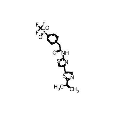 C=C(C)c1ncc(-c2csc(NC(=O)Cc3ccc(S(=O)(=O)C(F)(F)F)cc3)n2)s1